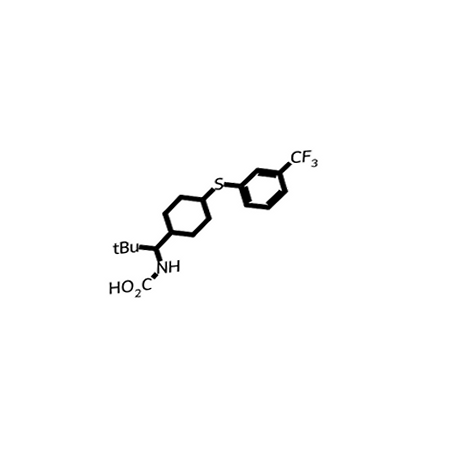 CC(C)(C)C(NC(=O)O)C1CCC(Sc2cccc(C(F)(F)F)c2)CC1